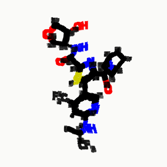 C[C@H](Nc1cc(C(F)(F)F)c(-c2sc(C(=O)N[C@@H]3COC[C@@H]3O)nc2C(=O)N2C3CCC2CC3)cn1)C(F)(F)F